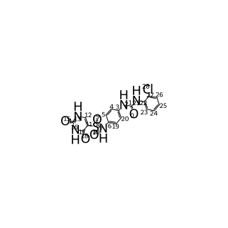 O=C(Nc1ccc(NS(=O)(=O)c2c[nH]c(=O)[nH]c2=O)cc1)Nc1ccccc1Cl